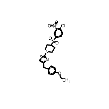 CCOc1ccc(Cc2csc(N3CCC(S(=O)(=O)c4ccc(Cl)c([N+](=O)[O-])c4)CC3)n2)cc1